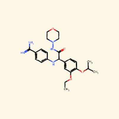 CCOc1cc(C(Nc2ccc(C(=N)N)cc2)C(=O)NN2CCOCC2)ccc1OC(C)C